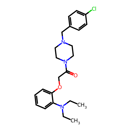 CCN(CC)c1ccccc1OCC(=O)N1CCN(Cc2ccc(Cl)cc2)CC1